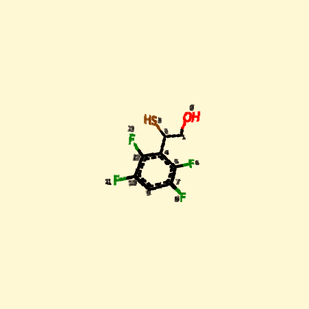 OCC(S)c1c(F)c(F)cc(F)c1F